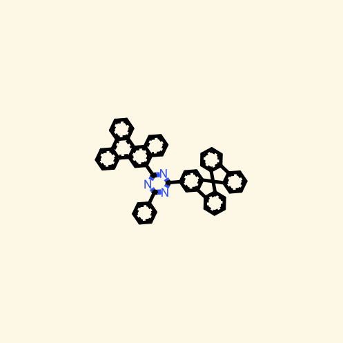 c1ccc(-c2nc(-c3ccc4c(c3)-c3ccccc3C43c4ccccc4-c4ccccc43)nc(-c3cc4c5ccccc5c5ccccc5c4c4ccccc34)n2)cc1